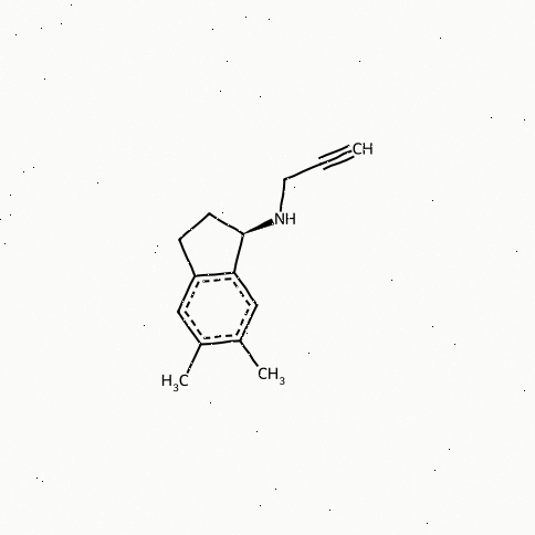 C#CCN[C@@H]1CCc2cc(C)c(C)cc21